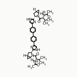 CC(=O)N[C@H](C(=O)N1[C@@H]2C[C@@H]2C[C@H]1c1nc(-c2ccc(-c3ccc(-c4c[nH]c([C@@H]5C[C@H]6C[C@H]6N5C(=O)[C@@H](NC(C)=O)C(C)C)n4)cc3)cc2)c[nH]1)C(C)C